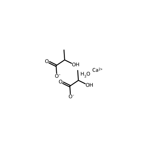 CC(O)C(=O)[O-].CC(O)C(=O)[O-].O.[Ca+2]